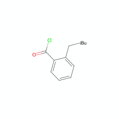 CCC(C)Cc1ccccc1C(=O)Cl